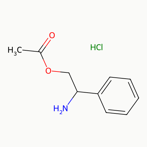 CC(=O)OCC(N)c1ccccc1.Cl